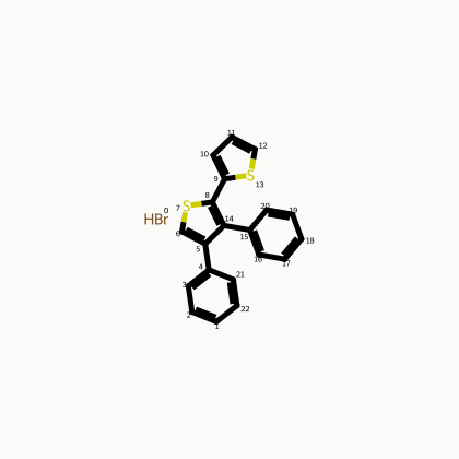 Br.c1ccc(-c2csc(-c3cccs3)c2-c2ccccc2)cc1